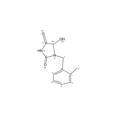 Cc1ccccc1CN1C(=O)NC(=O)C1O